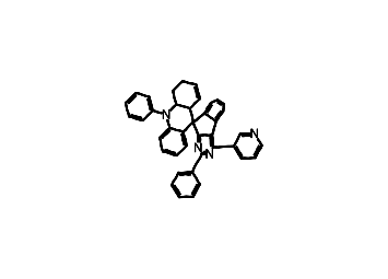 C1=CC2C(CC1)N(c1ccccc1)c1ccccc1C21c2ccccc2-c2c(-c3cccnc3)nc(-c3ccccc3)nc21